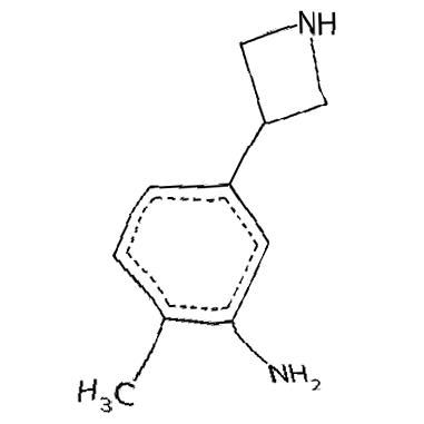 Cc1ccc(C2CNC2)cc1N